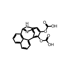 O=C(O)Oc1c2cc3[nH]c(nc3c1OC(=O)O)-c1cccc3cccc-2c13